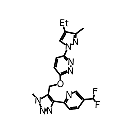 CCc1cn(-c2ccc(OCc3c(-c4ccc(C(F)F)cn4)nnn3C)nn2)nc1C